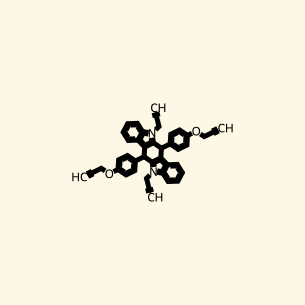 C#CCOc1ccc(C2c3c(n(CC#C)c4ccccc34)C(c3ccc(OCC#C)cc3)c3c2n(CC#C)c2ccccc32)cc1